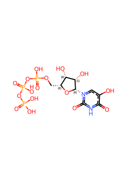 O=c1[nH]c(=O)n([C@@H]2O[C@H](COP(=O)(O)OP(=O)(O)OP(=O)(O)O)[C@H](O)[C@@H]2O)cc1O